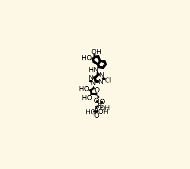 O=P(O)(O)CP(=O)(O)OC[C@H]1O[C@@H](n2cnc3c(Nc4cccc5cc(O)c(O)cc45)nc(Cl)nc32)C(O)C1O